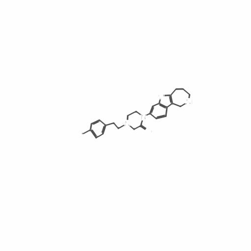 O=C1CN(CCc2ccc(Cl)cc2)CCN1c1ccc2c3c(oc2c1)CCCNC3